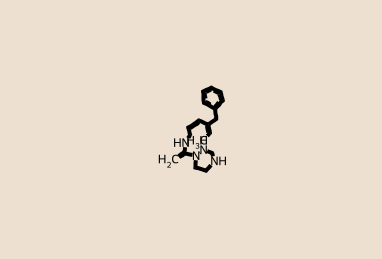 C=C(NC/C=C\C(=C/C)Cc1ccccc1)N1CCNCN1